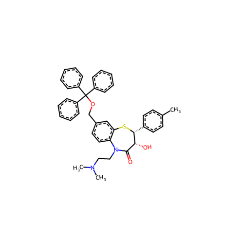 Cc1ccc([C@H]2Sc3cc(COC(c4ccccc4)(c4ccccc4)c4ccccc4)ccc3N(CCN(C)C)C(=O)[C@H]2O)cc1